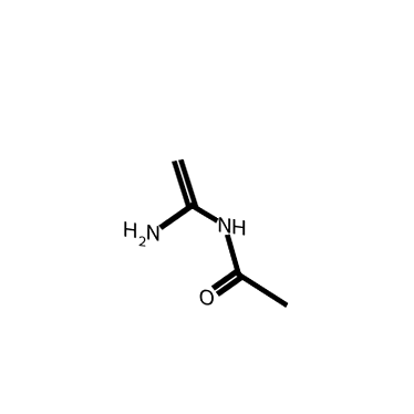 C=C(N)NC(C)=O